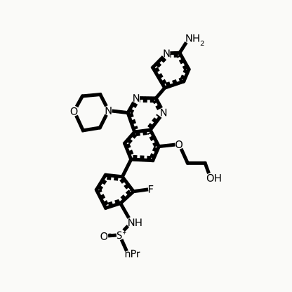 CCC[S+]([O-])Nc1cccc(-c2cc(OCCO)c3nc(-c4ccc(N)nc4)nc(N4CCOCC4)c3c2)c1F